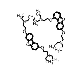 CCN(CC)CCOc1ccc2c(c1)oc1ccc(OCCN(CC)CC)cc12.CCN(CC)CCOc1ccc2c(c1)oc1cccc(OCCN(CC)CC)c12